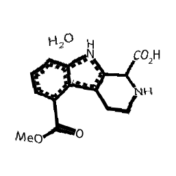 COC(=O)c1cccc2[nH]c3c(c12)CCNC3C(=O)O.O